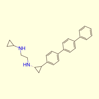 c1ccc(-c2ccc(-c3ccc(C4C[C@@H]4NCCNC4CC4)cc3)cc2)cc1